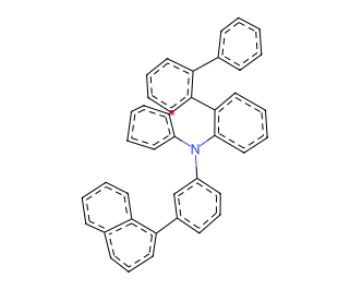 c1ccc(-c2ccccc2-c2ccccc2N(c2ccccc2)c2cccc(-c3cccc4ccccc34)c2)cc1